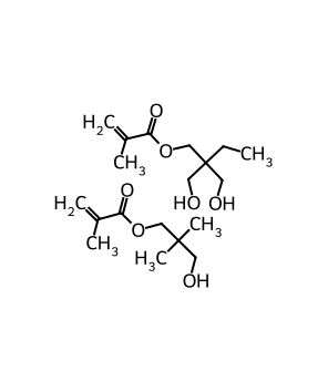 C=C(C)C(=O)OCC(C)(C)CO.C=C(C)C(=O)OCC(CC)(CO)CO